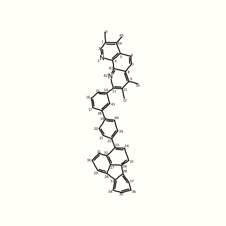 Cc1cnc2c(ccc3c(C)c(C)c(-c4cccc(-c5ccc(-c6ccc7c8c(cccc68)-c6ccccc6-7)cc5)c4)nc32)c1C